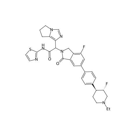 CCN1CC[C@@H](c2ccc(-c3cc(F)c4c(c3)C(=O)N(C(C(=O)Nc3nccs3)c3ncn5c3CCC5)C4)cc2)[C@H](F)C1